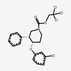 O=C(OCC(Cl)(Cl)Cl)N1CC[C@H](Oc2cccc(Cl)c2)[C@H](c2ccccc2)C1